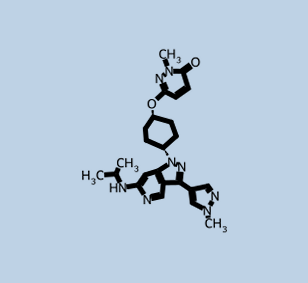 CC(C)Nc1cc2c(cn1)c(-c1cnn(C)c1)nn2[C@H]1CC[C@@H](Oc2ccc(=O)n(C)n2)CC1